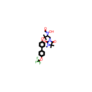 CN1C(=O)N(CC(N(O)C=O)C(C)(C)Oc2ccc(-c3ccc(OC(F)(F)F)cc3)cc2)C(=O)C1(C)C